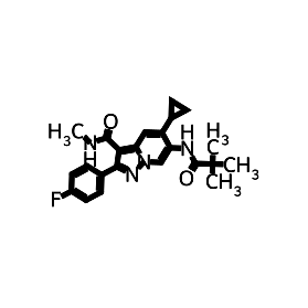 CNC(=O)c1c(-c2ccc(F)cc2)nn2cc(NC(=O)C(C)(C)C)c(C3CC3)cc12